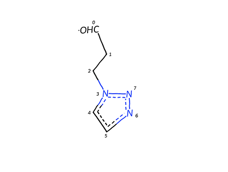 O=[C]CCn1ccnn1